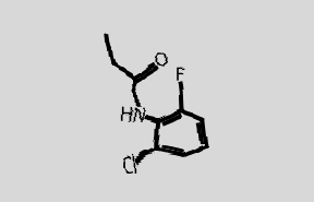 CCC(=O)Nc1c(F)cccc1Cl